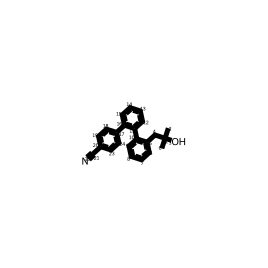 CC(C)(O)Cc1ccccc1-c1ccccc1-c1ccc(C#N)cc1